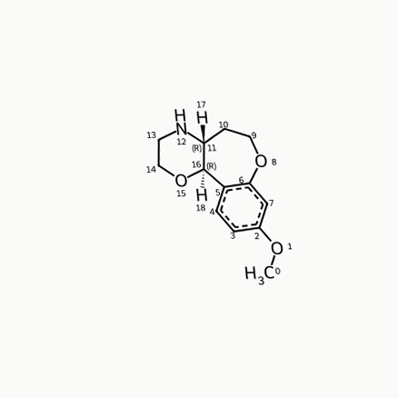 COc1ccc2c(c1)OCC[C@H]1NCCO[C@H]21